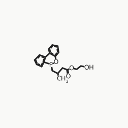 CC(CC(=O)OCCO)CP1Oc2ccccc2-c2ccccc21